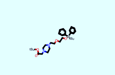 CC(C)(C)OC(=O)CN1CCN(CCOCCO[Si](c2ccccc2)(c2ccccc2)C(C)(C)C)CC1